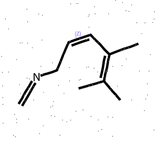 C=NC/C=C\C(C)=C(C)C